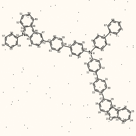 c1ccc(-c2ccc(N(c3ccc(-c4ccc(-c5ccc6oc7ccccc7c6c5)cc4)cc3)c3ccc(-c4ccc(-c5ccc6c(c5)c5ccccc5n6-c5ccccc5)cc4)cc3)cc2)cc1